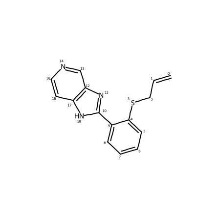 C=CCSc1ccccc1-c1nc2cnccc2[nH]1